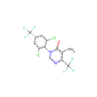 Cc1c(C(F)(F)F)ncn(-c2c(Cl)cc(C(F)(F)F)cc2Cl)c1=O